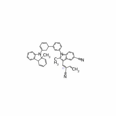 C=C/C(C#N)=C\c1c(C)n(-c2cccc(C3C=CC=C(N4c5ccccc5C5C=CC=CC54C)C3)c2)c2ccc(C#N)cc12